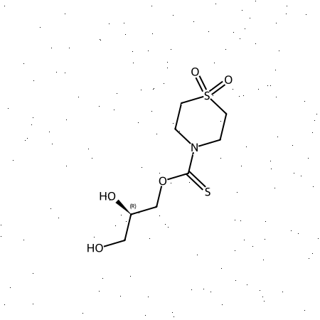 O=S1(=O)CCN(C(=S)OC[C@H](O)CO)CC1